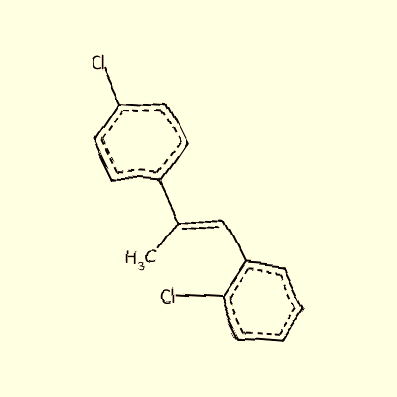 CC(=Cc1ccccc1Cl)c1ccc(Cl)cc1